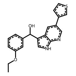 CCOc1cccc(C(O)c2c[nH]c3ncc(-c4ccsc4)cc23)c1